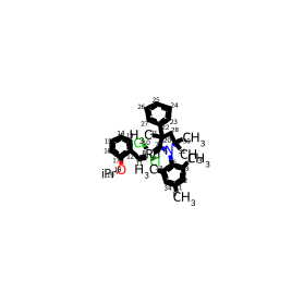 Cc1cc(C)c(N2[C](=[Ru]([Cl])([Cl])=[CH]c3ccccc3OC(C)C)C(C)(c3ccccc3)CC2(C)C)c(C)c1